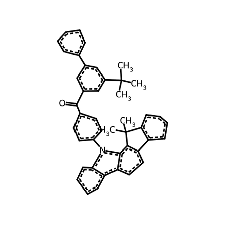 CC(C)(C)c1cc(C(=O)c2ccc(-n3c4ccccc4c4ccc5c(c43)C(C)(C)c3ccccc3-5)cc2)cc(-c2ccccc2)c1